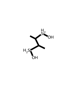 CC([SiH2]O)C(C)[SiH2]O